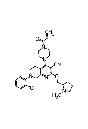 C=CC(=O)N1CCN(c2c(C#N)c(OCC3CCCN3C)nc3c2CCN(c2ccccc2Cl)C3)CC1